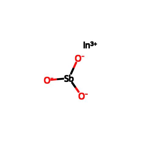 [In+3].[O-][Sb]([O-])[O-]